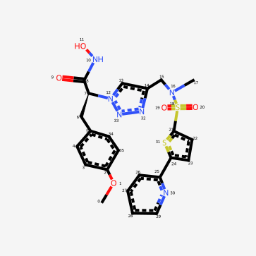 COc1ccc(C[C@@H](C(=O)NO)n2cc(CN(C)S(=O)(=O)c3ccc(-c4ccccn4)s3)nn2)cc1